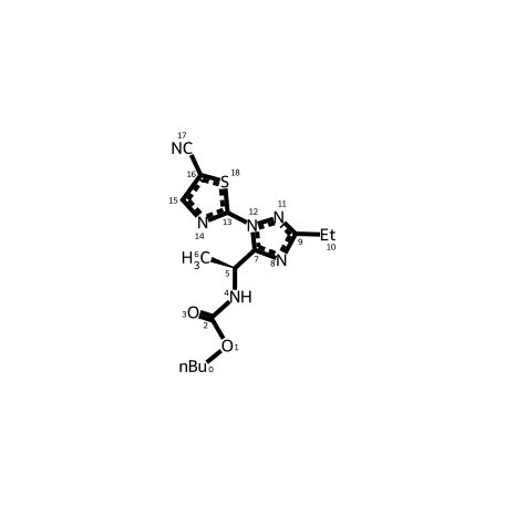 CCCCOC(=O)N[C@@H](C)c1nc(CC)nn1-c1ncc(C#N)s1